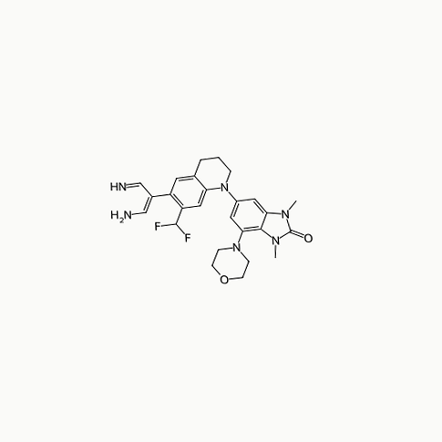 Cn1c(=O)n(C)c2c(N3CCOCC3)cc(N3CCCc4cc(/C(C=N)=C/N)c(C(F)F)cc43)cc21